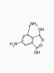 N.Nc1cc(F)c(C(=O)O)c(C(=O)O)c1